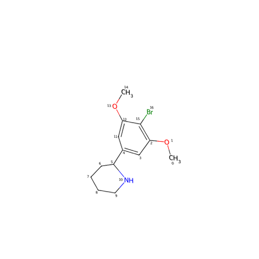 COc1cc(C2CCCCN2)cc(OC)c1Br